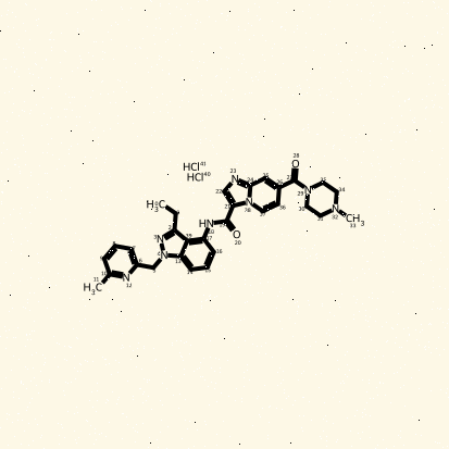 CCc1nn(Cc2cccc(C)n2)c2cccc(NC(=O)c3cnc4cc(C(=O)N5CCN(C)CC5)ccn34)c12.Cl.Cl